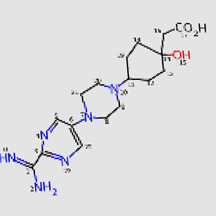 N=C(N)c1ncc(N2CCN(C3CCC(O)(CC(=O)O)CC3)CC2)cn1